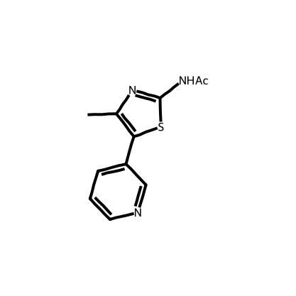 CC(=O)Nc1nc(C)c(-c2cccnc2)s1